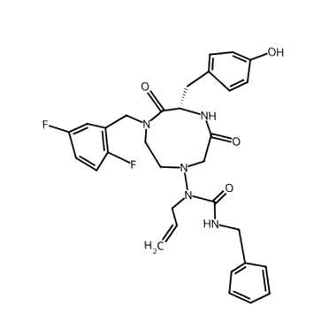 C=CCN(C(=O)NCc1ccccc1)N1CCN(Cc2cc(F)ccc2F)C(=O)[C@H](Cc2ccc(O)cc2)NC(=O)C1